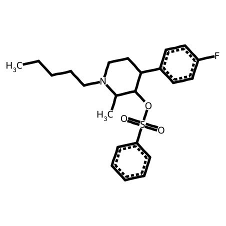 CCCCCN1CCC(c2ccc(F)cc2)C(OS(=O)(=O)c2ccccc2)C1C